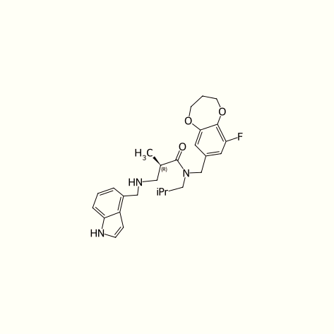 CC(C)CN(Cc1cc(F)c2c(c1)OCCCO2)C(=O)[C@H](C)CNCc1cccc2[nH]ccc12